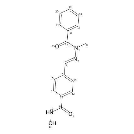 CN(N=Cc1ccc(C(=O)NO)cc1)C(=O)c1ccccc1